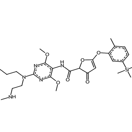 CCCN(CCNC)c1nc(OC)c(NC(=O)C2OC(Oc3cc([Si](C)(C)C)ccc3C)=CC2=O)c(OC)n1